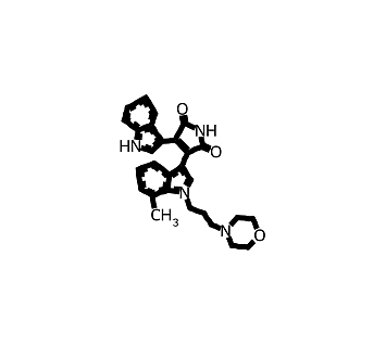 Cc1cccc2c(C3=C(c4c[nH]c5ccccc45)C(=O)NC3=O)cn(CCCN3CCOCC3)c12